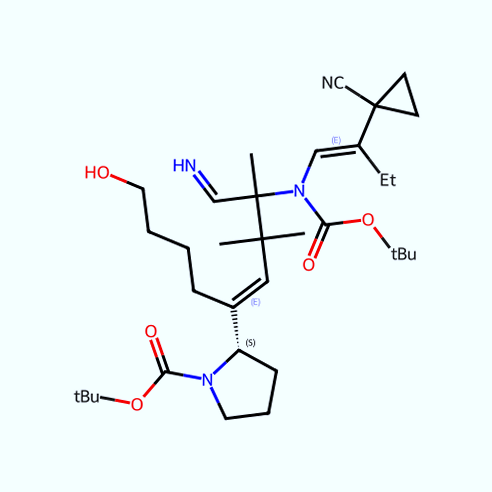 CC/C(=C\N(C(=O)OC(C)(C)C)C(C)(C=N)C(C)(C)/C=C(\CCCCO)[C@@H]1CCCN1C(=O)OC(C)(C)C)C1(C#N)CC1